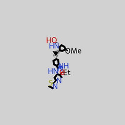 CCOc1cnc(-c2nccs2)cc1Nc1n[nH]c2cc([C@@H]3C[C@@H]3c3cc(OC)ccc3NCO)ccc12